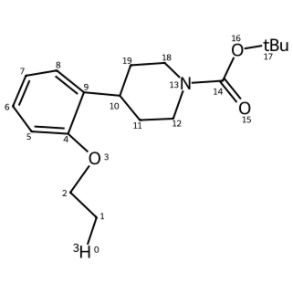 [3H]CCOc1ccccc1C1CCN(C(=O)OC(C)(C)C)CC1